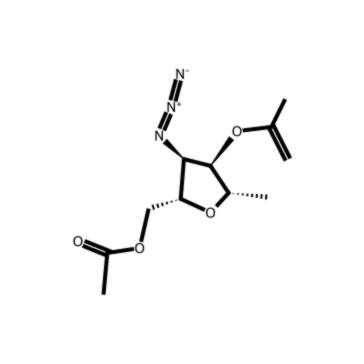 C=C(C)O[C@@H]1[C@H](N=[N+]=[N-])[C@@H](COC(C)=O)O[C@H]1C